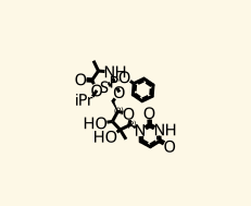 CC(C)OC(=O)C(C)NP(=S)(OC[C@H]1O[C@@H](n2ccc(=O)[nH]c2=O)C(C)(O)C1O)Oc1ccccc1